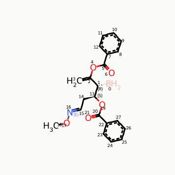 B[C@@H](C(=C)OC(=O)c1ccccc1)[C@H](C/C=N/OC)OC(=O)c1ccccc1